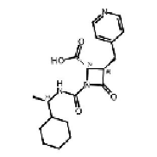 C[C@@H](NC(=O)N1C(=O)[C@H](Cc2ccncc2)[C@H]1C(=O)O)C1CCCCC1